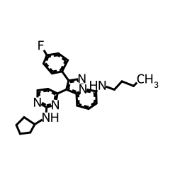 CCCCNc1cccc2c(-c3ccnc(NC4CCCC4)n3)c(-c3ccc(F)cc3)nn12